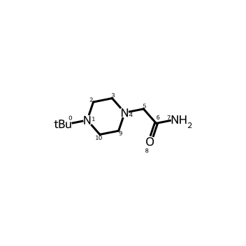 CC(C)(C)N1CCN(CC(N)=O)CC1